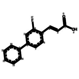 O=C(O)/C=C/c1ccc(-c2cc[c]cc2)cc1F